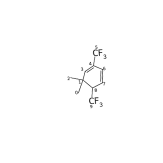 CC1(C)C=C(C(F)(F)F)C=CC1C(F)(F)F